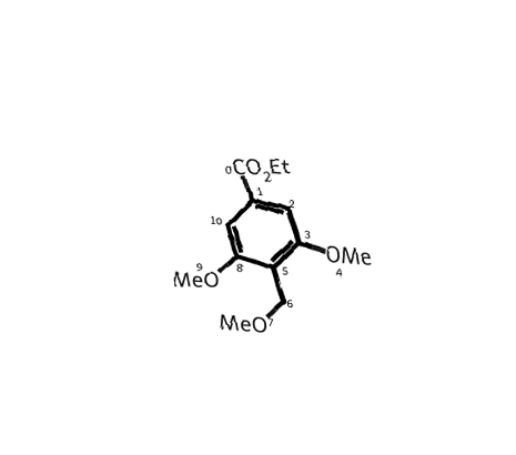 CCOC(=O)c1cc(OC)c(COC)c(OC)c1